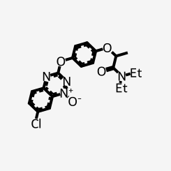 CCN(CC)C(=O)C(C)Oc1ccc(Oc2nc3ccc(Cl)cc3[n+]([O-])n2)cc1